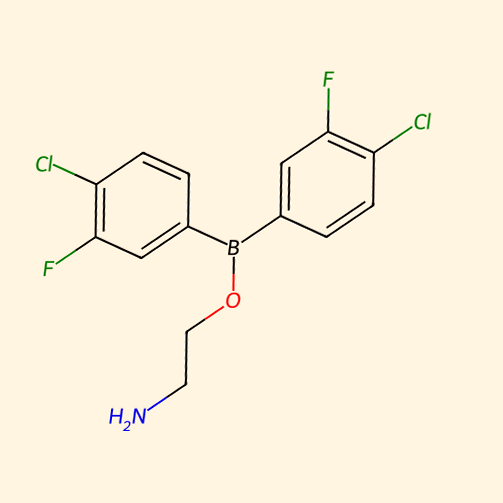 NCCOB(c1ccc(Cl)c(F)c1)c1ccc(Cl)c(F)c1